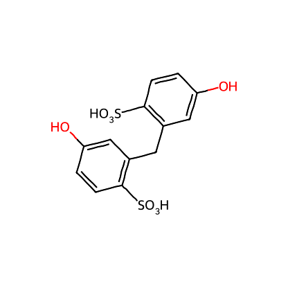 O=S(=O)(O)c1ccc(O)cc1Cc1cc(O)ccc1S(=O)(=O)O